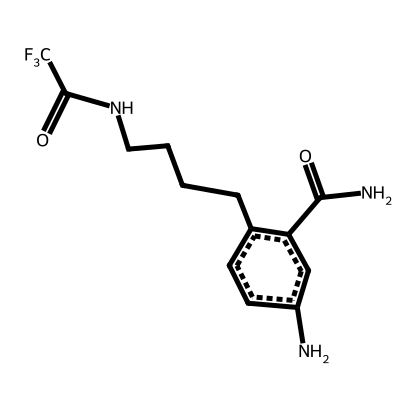 NC(=O)c1cc(N)ccc1CCCCNC(=O)C(F)(F)F